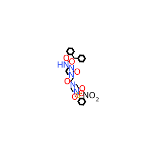 O=C(Nc1ccn(CC(=O)N2CCN(S(=O)(=O)c3ccccc3[N+](=O)[O-])C(=O)C2)c(=O)n1)OC(c1ccccc1)c1ccccc1